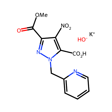 COC(=O)c1nn(Cc2ccccn2)c(C(=O)O)c1[N+](=O)[O-].[K+].[OH-]